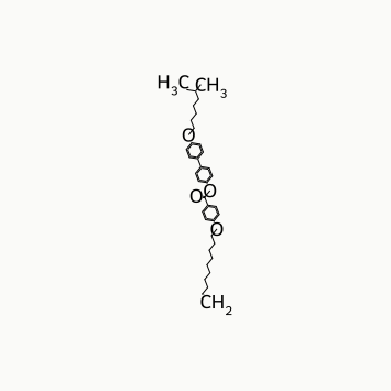 C=CCCCCCCCCOc1ccc(C(=O)Oc2ccc(-c3ccc(OCCCCCC(C)CC)cc3)cc2)cc1